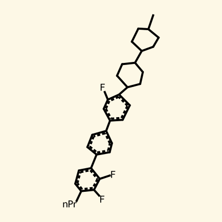 CCCc1ccc(-c2ccc(-c3ccc(C4CCC(C5CCC(C)CC5)CC4)c(F)c3)cc2)c(F)c1F